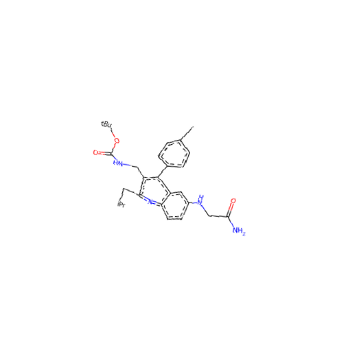 Cc1ccc(-c2c(CNC(=O)OC(C)(C)C)c(CC(C)C)nc3ccc(NCC(N)=O)cc23)cc1